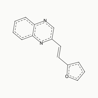 C(=Cc1ccco1)c1cnc2ccccc2n1